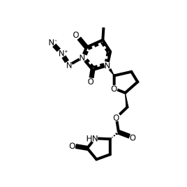 Cc1cn([C@H]2CC[C@@H](COC(=O)[C@@H]3CCC(=O)N3)O2)c(=O)n(N=[N+]=[N-])c1=O